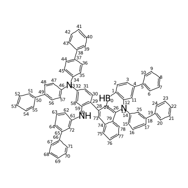 B1c2ccc(-c3ccccc3)cc2N(c2cccc(-c3ccccc3)c2)c2c1c(-c1ccc(N(c3ccc(-c4ccccc4)cc3)c3ccc(-c4ccccc4)cc3)cc1Nc1cccc(-c3ccccc3)c1)cc1ccccc21